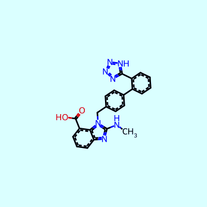 CNc1nc2cccc(C(=O)O)c2n1Cc1ccc(-c2ccccc2-c2nnn[nH]2)cc1